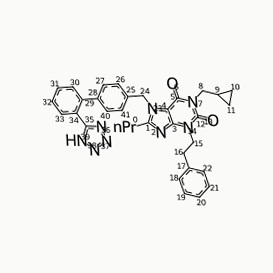 CCCc1nc2c(c(=O)n(CC3CC3)c(=O)n2CCc2ccccc2)n1Cc1ccc(-c2ccccc2-c2nnn[nH]2)cc1